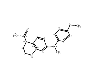 CCc1ccc(N(C)c2ccc3c(c2)OCCC3C(=O)O)cc1